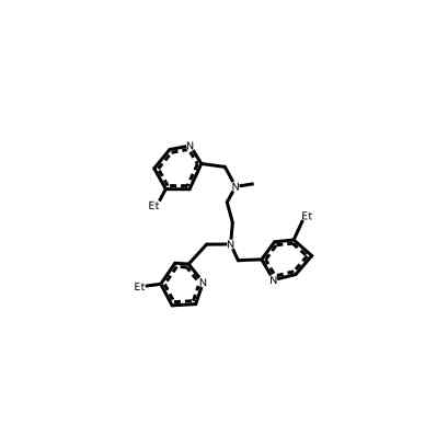 CCc1ccnc(CN(C)CCN(Cc2cc(CC)ccn2)Cc2cc(CC)ccn2)c1